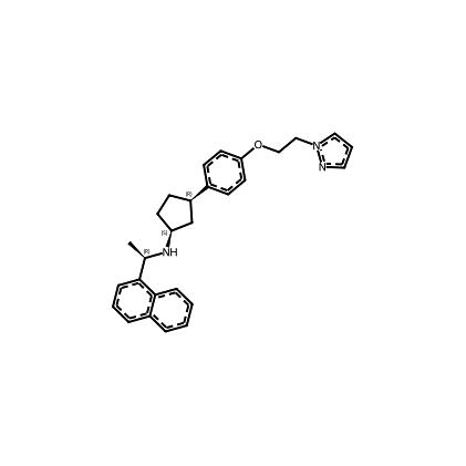 C[C@@H](N[C@H]1CC[C@@H](c2ccc(OCCn3cccn3)cc2)C1)c1cccc2ccccc12